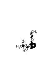 COCCOCC12CCC(CN(C(=O)OC(C)(C)C)C1)C2